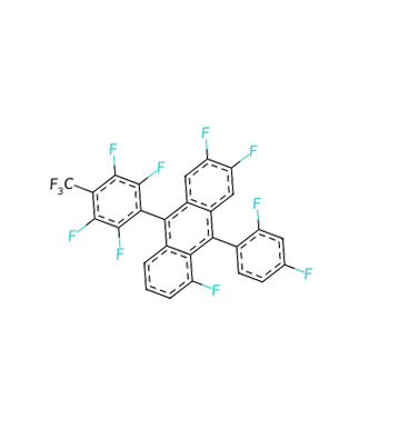 Fc1ccc(-c2c3cc(F)c(F)cc3c(-c3c(F)c(F)c(C(F)(F)F)c(F)c3F)c3cccc(F)c23)c(F)c1